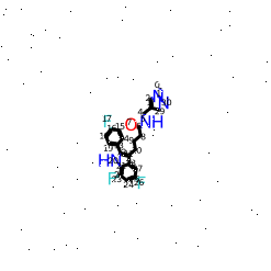 Cn1cc(CNC(=O)CCCc2c(-c3ccc(F)cc3)[nH]c3c(F)cc(F)cc23)cn1